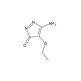 CCOC1=C(N)N=NC1=O